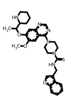 COc1cc2c(N3CCN(C(=S)NCc4coc5ccccc45)CC3)ncnc2cc1OC(C)C1CCCCN1